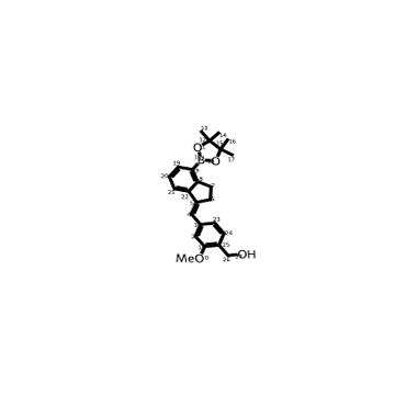 COc1cc(/C=C2\CCc3c(B4OC(C)(C)C(C)(C)O4)cccc32)ccc1CO